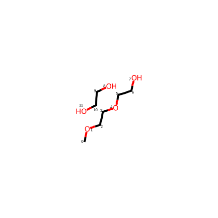 COCCOCCO.OCCO